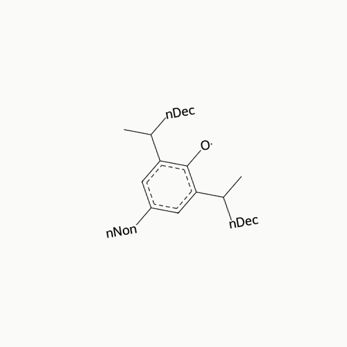 CCCCCCCCCCC(C)c1cc(CCCCCCCCC)cc(C(C)CCCCCCCCCC)c1[O]